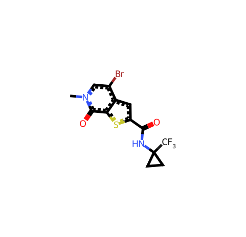 Cn1cc(Br)c2cc(C(=O)NC3(C(F)(F)F)CC3)sc2c1=O